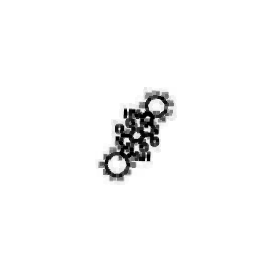 N=c1c2c(c3nc(=O)c4c(=O)c5c(c(=O)nc6c7c(c(=N)n65)CCCCCCC7)c(=O)c4n13)CCCCCCCC2